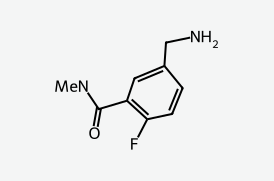 CNC(=O)c1cc(CN)ccc1F